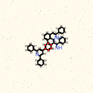 N=C(/C(=C1\NC(c2ccccc2)=Cc2cccc(-c3cccc(-c4cc(-c5ccccc5)nc(-c5ccccc5)c4)c3)c21)c1ccccc1)c1ccccc1